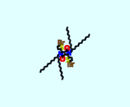 CCCCCCCCCCC(CCCCCCCCCC)CN1C(=O)C2=C(c3ccc(Br)s3)N(CC(CCCCCCCCCC)CCCCCCCCCC)C(=O)C2=C1c1ccc(Br)s1